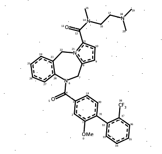 COc1cc(C(=O)N2Cc3ccc(C(=O)N(C)CCN(C)C)n3Cc3ccccc32)ccc1-c1ccccc1C(F)(F)F